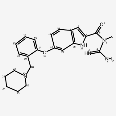 CN(C(=N)N)C(=O)c1cc2ccc(Oc3ccccc3CN3CCCCC3)cc2[nH]1